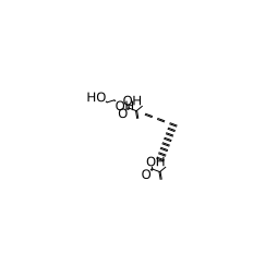 C=C.C=C.C=C.C=C.C=C.C=C.C=C.C=C.C=C.C=C.C=C(C)C(=O)O.C=C(C)C(=O)O.OCCO